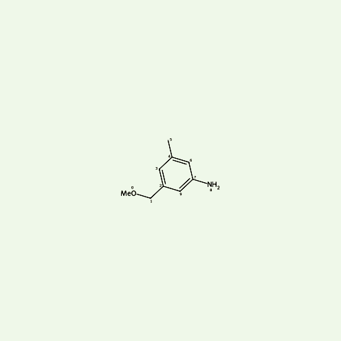 COCc1cc(C)cc(N)c1